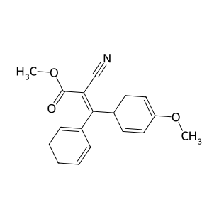 COC(=O)/C(C#N)=C(\C1=CCCC=C1)C1C=CC(OC)=CC1